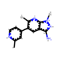 CCc1nc2c(cc1-c1ccnc(C)c1)c(N)nn2CC